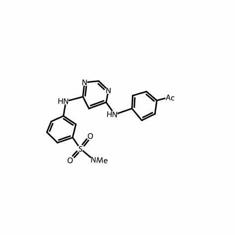 CNS(=O)(=O)c1cccc(Nc2cc(Nc3ccc(C(C)=O)cc3)ncn2)c1